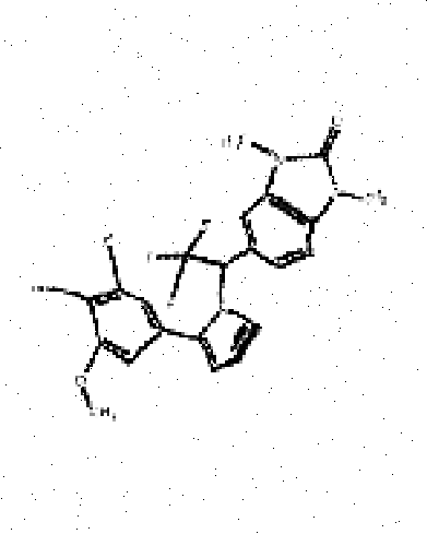 COc1cc(-c2cccn2C(c2ccc3c(c2)n(C)c(=O)n3C)C(F)(F)F)cc(F)c1O